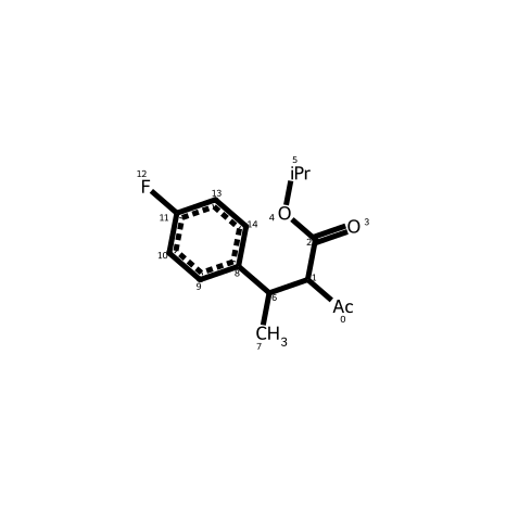 CC(=O)C(C(=O)OC(C)C)C(C)c1ccc(F)cc1